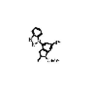 COC1c2cc(C(C)C)cc(-n3nnc4ccccc43)c2CC1C